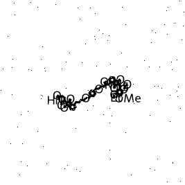 CCOc1cc([C@@H](CS(C)(=O)=O)N2C(=O)c3cccc(NC(=O)CCOCc4ccc(COCCCCc5cccc6c5C(=O)N(C5CCC(=O)NC5=O)C6=O)cc4)c3C2=O)ccc1OC